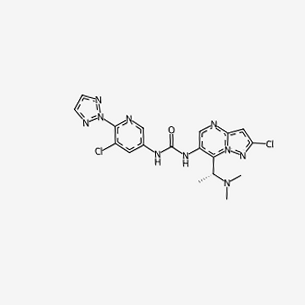 C[C@H](c1c(NC(=O)Nc2cnc(-n3nccn3)c(Cl)c2)cnc2cc(Cl)nn12)N(C)C